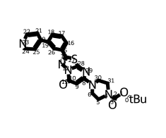 CC(C)(C)OC(=O)N1CCN(c2cc(=O)n3nc(-c4cccc(-c5ccncc5)c4)sc3n2)CC1